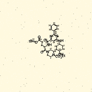 CCOC(=O)N1CCN(C(=O)C(CCC(=O)OC(C)(C)C)NC(=O)c2cc(NC3CCC(O)CC3)nc(-c3ccccc3)n2)CC1